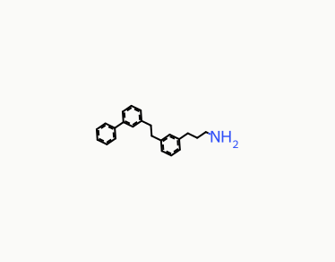 NCCCc1cccc(CCc2cccc(-c3ccccc3)c2)c1